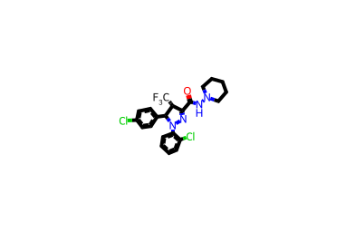 O=C(NN1CCCCC1)C1=NN(c2ccccc2Cl)C(c2ccc(Cl)cc2)C1C(F)(F)F